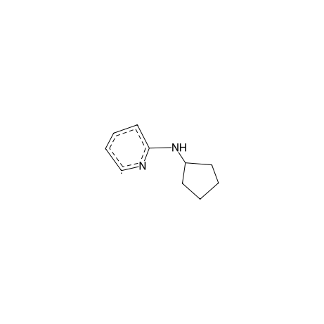 [c]1cccc(NC2CCCC2)n1